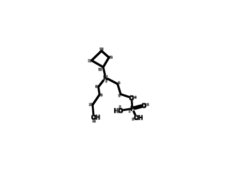 O=P(O)(O)OCCN(CCCO)C1CCC1